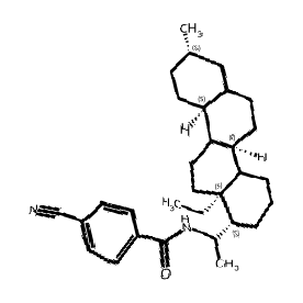 CC[C@]12CCC3[C@@H](CCC4C[C@@H](C)CC[C@@H]43)C1CCC[C@@H]2C(C)NC(=O)c1ccc(C#N)cc1